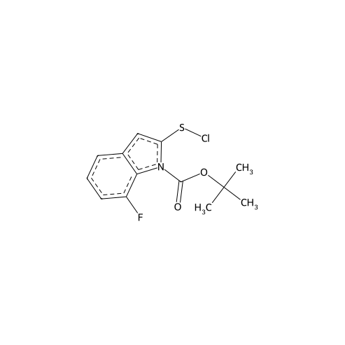 CC(C)(C)OC(=O)n1c(SCl)cc2cccc(F)c21